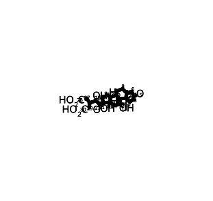 C[C@]12CCC(=O)C=C1CC[C@@H]1[C@@H]2[C@@H](O)C[C@@]2(C)[C@H]1CC[C@]2(O)C(=O)C(O)C(CC(=O)O)CC(=O)O